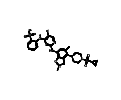 Cc1cc(Nc2ncc(Cl)c(Nc3ccccc3S(=O)(=O)C(C)C)n2)c2c(c1C1CCN(S(=O)(=O)C3CC3)CC1)C[C@@H](C)O2